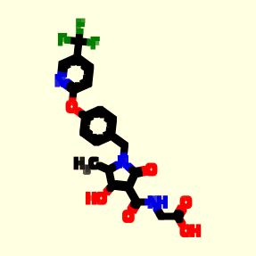 CC1C(O)=C(C(=O)NCC(=O)O)C(=O)N1Cc1ccc(Oc2ccc(C(F)(F)F)cn2)cc1